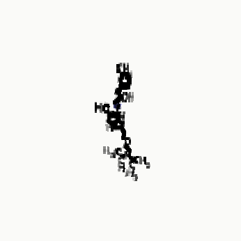 Cc1cccc(C[C@@H](O)/C=C/[C@@H]2[C@H]3CC(CCOCCN(C(C)C)C(C)C)=C[C@H]3C[C@H]2O)c1